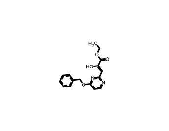 CCOC(=O)/C(O)=C/c1nccc(OCc2ccccc2)n1